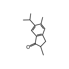 Cc1cc2c(cc1C(C)C)C(=O)C(C)C2